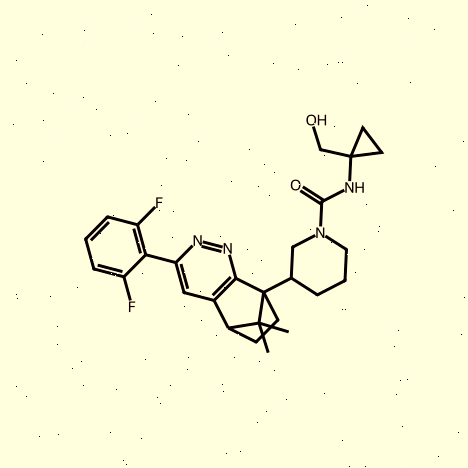 CC1(C)C2CCC1(C1CCCN(C(=O)NC3(CO)CC3)C1)c1nnc(-c3c(F)cccc3F)cc12